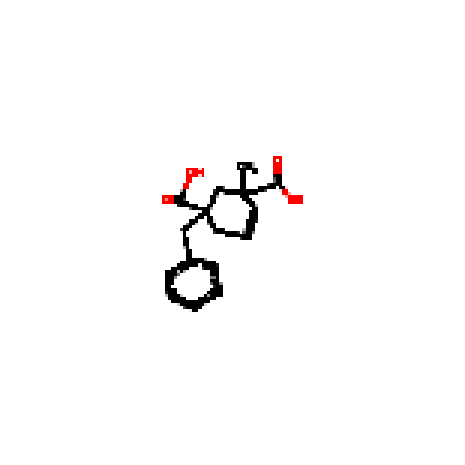 CC1(C(=O)O)C=CCC(Cc2ccccc2)(C(=O)O)C1